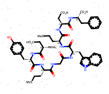 CSCC[C@H](NC(=O)[C@H](Cc1ccc(O)cc1)NC(=O)[C@H](CC(=O)O)NC(C)=O)C(=O)NCC(=O)N[C@@H](Cc1c[nH]c2ccccc12)C(=O)N[C@@H](CCSC)C(=O)N[C@@H](CC(=O)O)C(=O)N[C@@H](Cc1ccccc1)C(=O)O